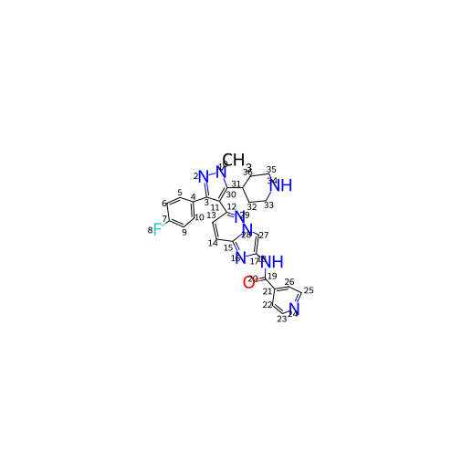 Cn1nc(-c2ccc(F)cc2)c(-c2ccc3nc(NC(=O)c4ccncc4)cn3n2)c1C1CCNCC1